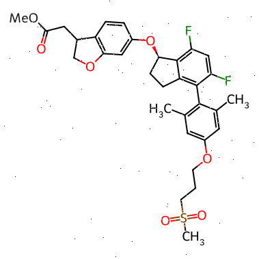 COC(=O)CC1COc2cc(O[C@@H]3CCc4c(-c5c(C)cc(OCCCS(C)(=O)=O)cc5C)c(F)cc(F)c43)ccc21